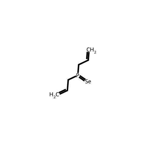 C=CC[P](=[Se])CC=C